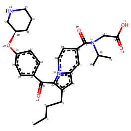 CCCCc1cc2cc(C(=O)N(CC(=O)O)C(C)C)ccn2c1C(=O)c1ccc(O[C@@H]2CCCNC2)cc1